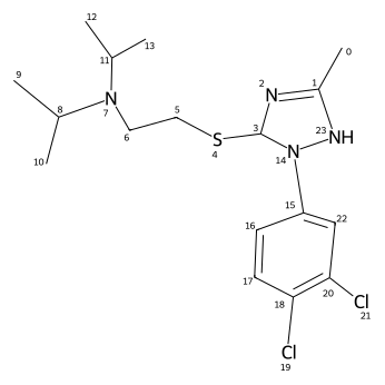 CC1=NC(SCCN(C(C)C)C(C)C)N(c2ccc(Cl)c(Cl)c2)N1